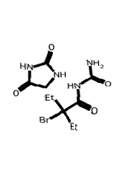 CCC(Br)(CC)C(=O)NC(N)=O.O=C1CNC(=O)N1